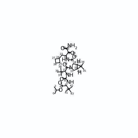 CC(C)OC(=O)[C@H](NC(=O)N[C@H](C(=O)N1C[C@H]2[C@@H]([C@H]1C(=O)NC(CC1CCC1)C(=O)C(N)=O)C2(C)C)C(C)(C)C)C(C)(C)C